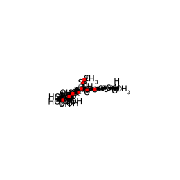 CCSC(=S)SCC(CC(C)C(=O)OCCOCCOCCSSCCC(=O)NC)c1ccc(C2OC[C@H]3O[C@H](O[C@H]4O[C@H](CO)[C@@H](O)[C@H](O)[C@H]4O)[C@H](O)[C@@H](O)[C@@H]3O2)cc1